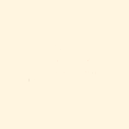 CCc1ccc(OCc2c(CC(=O)OC)cccc2C2CC2)c(Br)c1